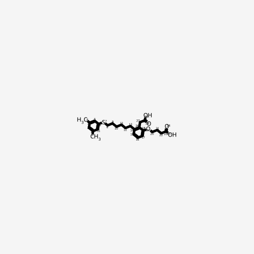 Cc1cc(C)cc(SCCCCCCc2cccc(OCCCC(=O)O)c2CC(=O)O)c1